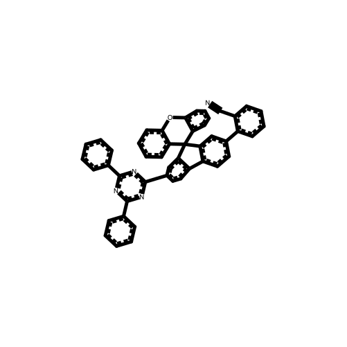 N#Cc1ccccc1-c1ccc2c(c1)C1(c3ccccc3Oc3ccccc31)c1cc(-c3nc(-c4ccccc4)nc(-c4ccccc4)n3)ccc1-2